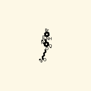 COc1cc2c(Nc3ccc(Br)cc3F)ncnc2cc1OCCCCCC(=O)N(C)C